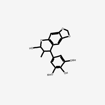 COc1cc(C2c3cc4c(cc3OC(O)C2C)OCO4)cc(OC)c1O